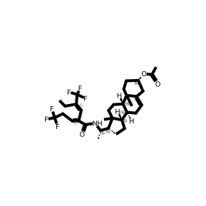 CC/C(=C\C(=C/CC(F)(F)F)C(=O)N[C@@H](C)[C@H]1CC[C@H]2[C@@H]3CC=C4C[C@@H](OC(C)=O)CCC4(C)[C@H]3CCC12C)C(F)(F)F